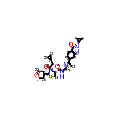 O=C(NC1CC1)c1ccc(-c2csc(NC(=O)[C@@H]3CSC(C4CCOCC4)N3C(=O)CC3CC3)n2)cc1